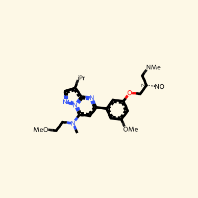 CNC[C@@H](COc1cc(OC)cc(-c2cc(N(C)CCOC)n3ncc(C(C)C)c3n2)c1)N=O